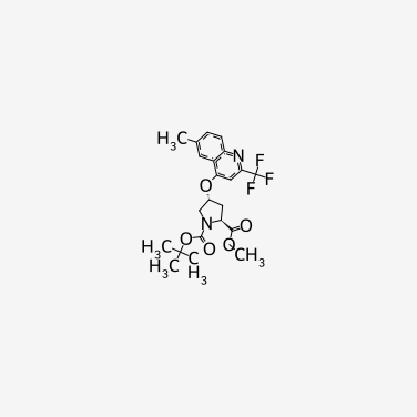 COC(=O)[C@@H]1C[C@@H](Oc2cc(C(F)(F)F)nc3ccc(C)cc23)CN1C(=O)OC(C)(C)C